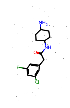 NC1CCC(NC(=O)Cc2cc(F)cc(Cl)c2)CC1